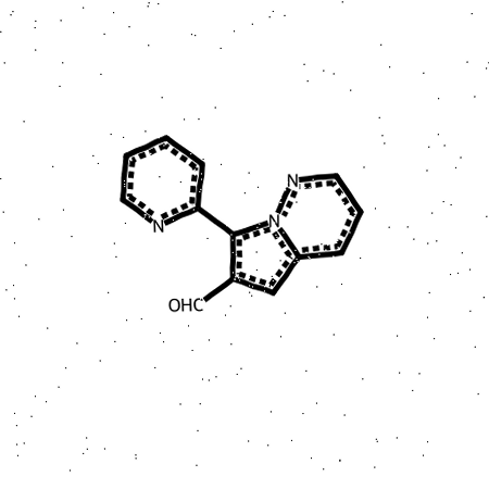 O=Cc1cc2cccnn2c1-c1ccccn1